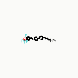 CCC/C=C/CCC[C@H]1CC[C@H]([C@H]2CC[C@H](CCc3cc(F)c(OC(F)F)c(F)c3)CC2)CC1